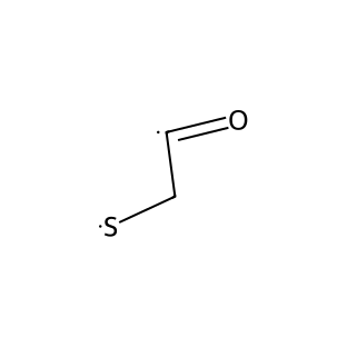 O=[C]C[S]